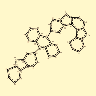 c1ccc2c(c1)oc1ccc3oc4ccc(-c5c6ccccc6c(-c6ccc7c(c6)sc6ccccc67)c6ccccc56)cc4c3c12